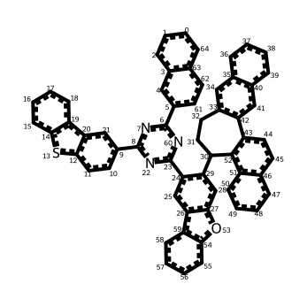 c1ccc2cc(-c3nc(-c4ccc5sc6ccccc6c5c4)nc(-c4cc5c(cc4C4CCc6cc7ccccc7cc6-c6ccc7ccccc7c64)oc4ccccc45)n3)ccc2c1